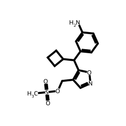 CS(=O)(=O)OCc1cnoc1C(c1cccc(N)c1)C1CCC1